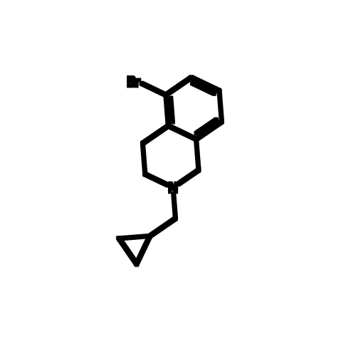 Brc1cccc2c1CCN(CC1CC1)C2